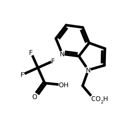 O=C(O)C(F)(F)F.O=C(O)Cn1ccc2cccnc21